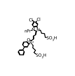 CCCN1C(=CC=Cc2oc3ccc(-c4ccccc4)cc3[n+]2CCCCS(=O)(=O)O)N(CCCCS(=O)(=O)O)c2cc(Cl)c(Cl)cc21